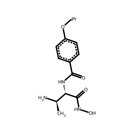 CC(C)Oc1ccc(C(=O)N[C@H](C(=O)NO)[C@@H](C)N)cc1